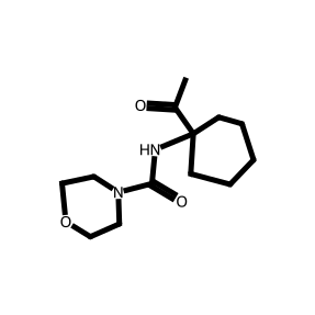 CC(=O)C1(NC(=O)N2CCOCC2)CCCCC1